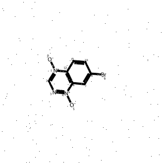 [O-][n+]1cn[n+]([O-])c2cc(Br)ccc21